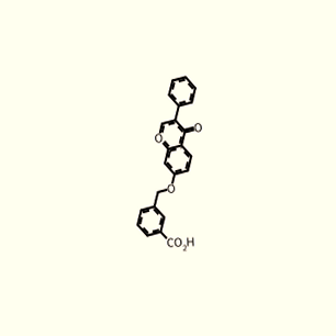 O=C(O)c1cccc(COc2ccc3c(=O)c(-c4ccccc4)coc3c2)c1